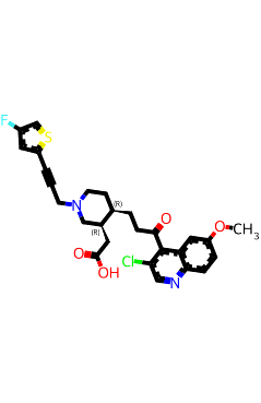 COc1ccc2ncc(Cl)c(C(=O)CC[C@@H]3CCN(CC#Cc4cc(F)cs4)C[C@@H]3CC(=O)O)c2c1